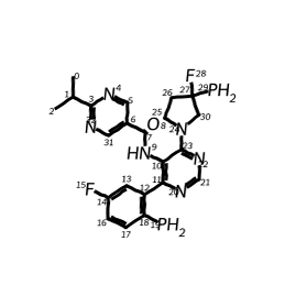 CC(C)c1ncc(C(=O)Nc2c(-c3cc(F)ccc3P)ncnc2N2CCC(F)(P)C2)cn1